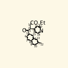 CCOC(=O)CC(C(=O)c1ccc2ccc(C)cc2c1)c1ccncc1